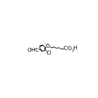 O=Cc1ccc(OCCCCCC(=O)O)c(Cl)c1